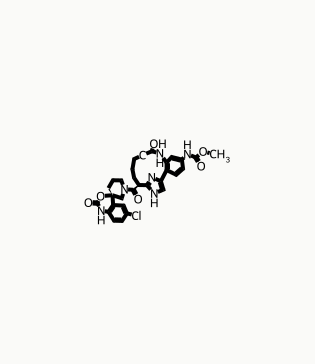 COC(=O)Nc1ccc2c(c1)NC(O)CCCC[C@H](C(=O)N1CCC[C@@]3(C1)OC(=O)Nc1ccc(Cl)cc13)c1nc-2c[nH]1